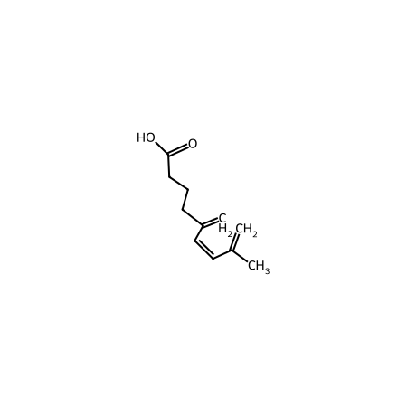 C=C(C)/C=C\C(=C)CCCC(=O)O